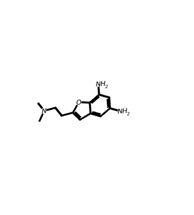 CN(C)CCc1cc2cc(N)cc(N)c2o1